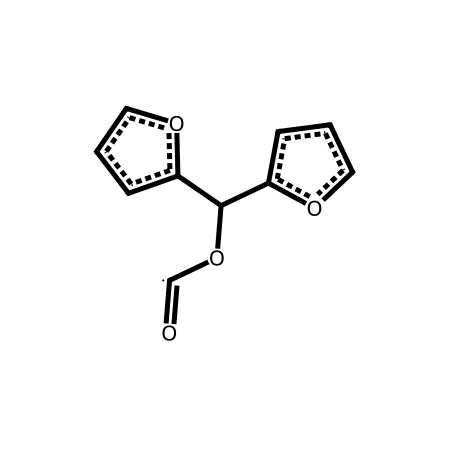 O=[C]OC(c1ccco1)c1ccco1